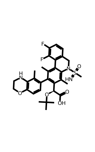 Cc1c(-c2c(C)c3c(c(C)c2[C@H](OC(C)(C)C)C(=O)O)N(S(C)(=N)=O)Cc2ccc(F)c(F)c2-3)ccc2c1NCCO2